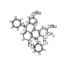 CC1=C(SC(C)C(C)(C)C)B2C3=C(C(C)CC=C3N(c3ccccc3)c3cc(C(C)(C)C)sc32)N1c1ccccc1